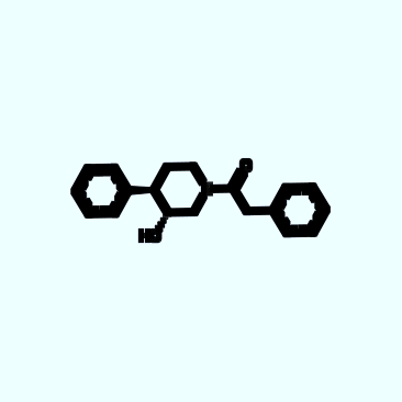 O=C(Cc1ccccc1)N1CC[C@H](c2ccccc2)[C@@H](O)C1